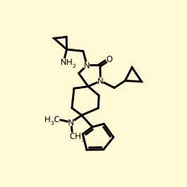 CN(C)C1(c2ccccc2)CCC2(CC1)CN(CC1(N)CC1)C(=O)N2CC1CC1